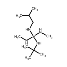 CN[Si](NC)(NCC(C)C)NC(C)(C)C